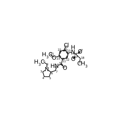 CCN1CCCC1CNC(=O)c1cc(NS(=O)(=O)CC)c(Cl)cc1OC